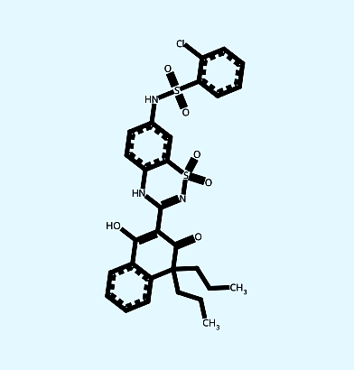 CCCC1(CCC)C(=O)C(C2=NS(=O)(=O)c3cc(NS(=O)(=O)c4ccccc4Cl)ccc3N2)=C(O)c2ccccc21